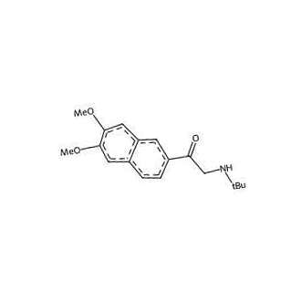 COc1cc2ccc(C(=O)CNC(C)(C)C)cc2cc1OC